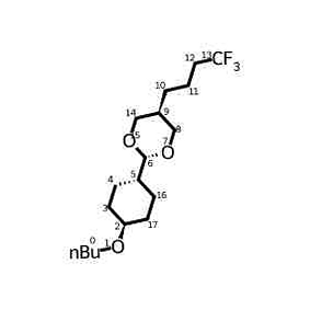 CCCCO[C@H]1CC[C@H]([C@H]2OC[C@H](CCCC(F)(F)F)CO2)CC1